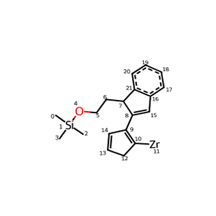 C[Si](C)(C)OCCC1C(C2=[C]([Zr])CC=C2)=Cc2ccccc21